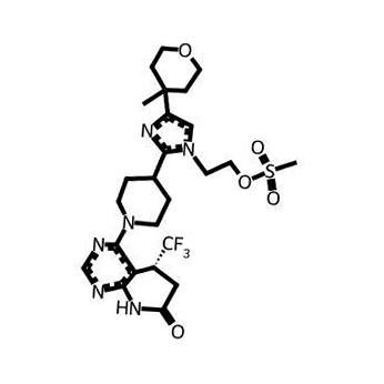 CC1(c2cn(CCOS(C)(=O)=O)c(C3CCN(c4ncnc5c4[C@H](C(F)(F)F)CC(=O)N5)CC3)n2)CCOCC1